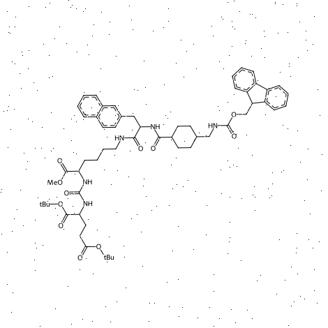 COC(=O)C(CCCCNC(=O)C(Cc1ccc2ccccc2c1)NC(=O)C1CCC(CNC(=O)OCC2c3ccccc3-c3ccccc32)CC1)NC(=O)NC(CCC(=O)OC(C)(C)C)C(=O)OC(C)(C)C